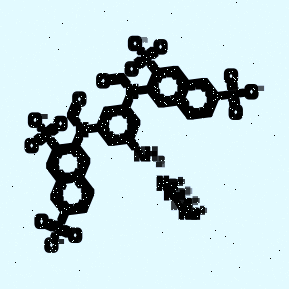 Nc1cc(N(C=O)c2cc3ccc(S(=O)(=O)[O-])cc3cc2S(=O)(=O)[O-])cc(N(C=O)c2cc3ccc(S(=O)(=O)[O-])cc3cc2S(=O)(=O)[O-])c1.[Na+].[Na+].[Na+].[Na+]